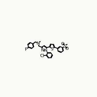 CN(Cc1ccc(F)cc1)Cc1cc(-c2ccc(-c3cccc(S(C)(=O)=O)c3)s2)n(-c2ccccc2Cl)n1